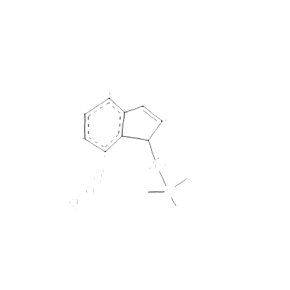 C[Si](C)(C)[Zr+3][CH]1C=Cc2ccccc21.[Cl-].[Cl-].[Cl-]